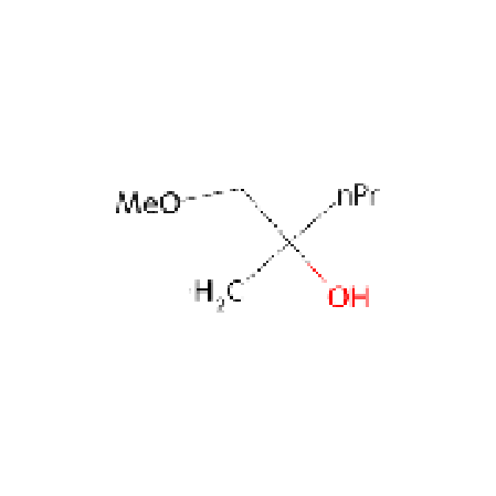 [CH2]C(O)(CCC)COC